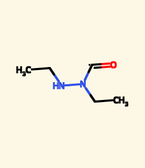 CCNN([C]=O)CC